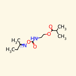 CC/C(C)=N/OC(=O)NCCOC(=O)C(C)C